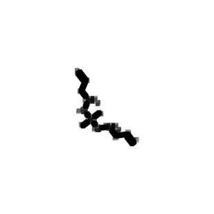 C=CC[SiH2]O[Si](C)(C)O[SiH2]CC=C